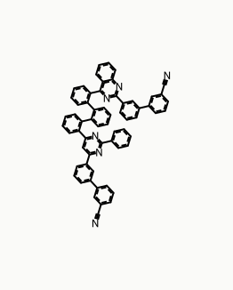 N#Cc1cccc(-c2cccc(-c3cc(-c4ccccc4-c4ccccc4-c4ccccc4-c4nc(-c5cccc(-c6cccc(C#N)c6)c5)nc5ccccc45)nc(-c4ccccc4)n3)c2)c1